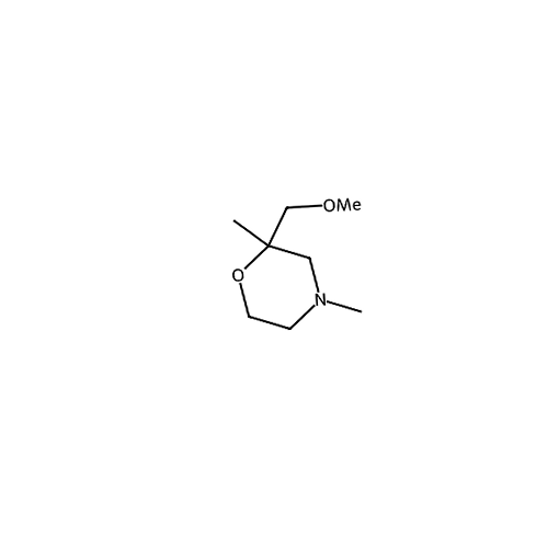 COCC1(C)CN(C)CCO1